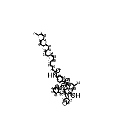 CC/C=C\C/C=C\C/C=C\C/C=C\C/C=C\C/C=C\CCC(=O)Nc1ccc(S(=O)(=O)N(CC(C)C)C[C@@H](O)[C@H](Cc2ccccc2)N(C(=O)O)[C@H]2CCOC2)cc1